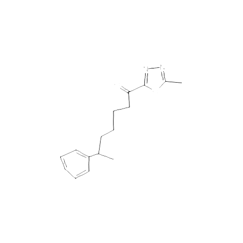 Cc1nnc(C(=O)CCCCC(C)c2ccccc2)o1